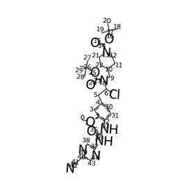 COc1cc(CC(Cl)N(CC2CCN(C(=O)OC(C)(C)C)CC2)C(=O)OC(C)(C)C)ccc1NC(=O)Nc1cnc(C#N)cn1